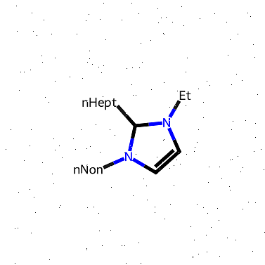 CCCCCCCCCN1C=CN(CC)C1CCCCCCC